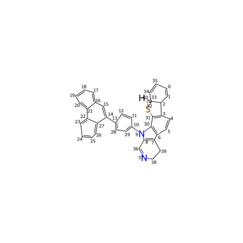 C1=CC2c3ccc4c5c(n(-c6ccc(-c7cc8ccccc8c8ccccc78)cc6)c4c3S[C@H]2C=C1)C=NCC5